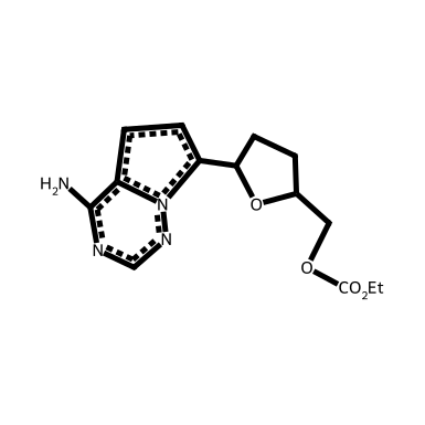 CCOC(=O)OCC1CCC(c2ccc3c(N)ncnn23)O1